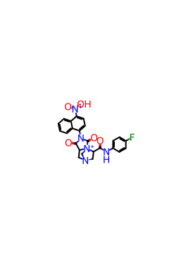 O=C(Nc1ccc(F)cc1)C1C[N@@]2CC3C(=O)N(c4ccc([N+](=O)O)c5ccccc45)C(=O)[N+]13C2